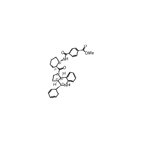 COC(=O)c1ccc(C(=O)N[C@@H]2CCCC[C@@H]2C(=O)N2CC[C@@H]3[C@H](C4C=CC=CC4)Nc4ccccc4[C@@H]32)cc1